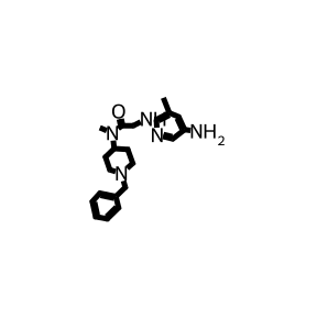 Cc1cc(N)cnc1NCC(=O)N(C)C1CCN(Cc2ccccc2)CC1